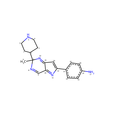 CC1(C2CCNCC2)N=CC2=NC(c3ccc(N)cc3)=CC2=N1